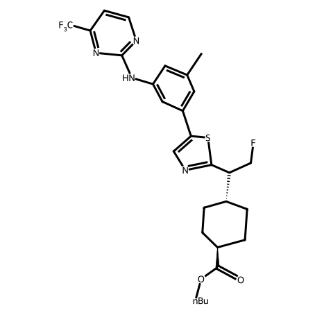 CCCCOC(=O)[C@H]1CC[C@H](C(CF)c2ncc(-c3cc(C)cc(Nc4nccc(C(F)(F)F)n4)c3)s2)CC1